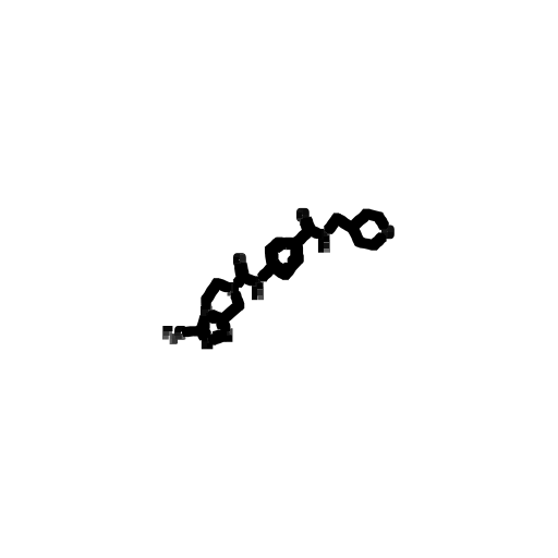 O=C(NCC1CCOCC1)c1ccc(NC(=O)N2CCn3c(nnc3C(F)(F)F)C2)cc1